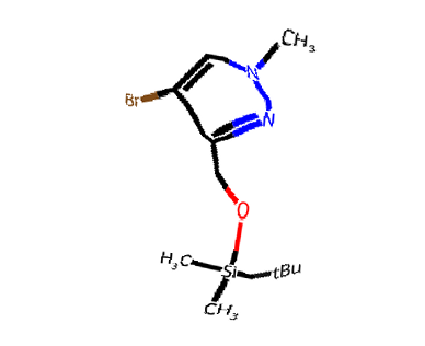 Cn1cc(Br)c(CO[Si](C)(C)C(C)(C)C)n1